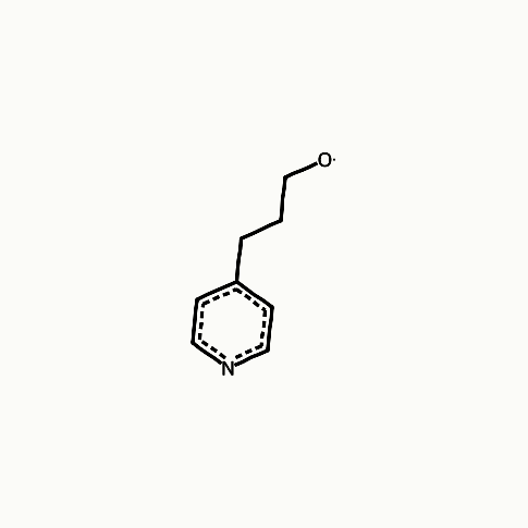 [O]CCCc1ccncc1